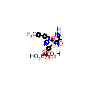 CC(c1cn[nH]c1)c1cn(CC(=O)N(Cc2ccc(-c3ccc(C(F)(F)F)cc3)cc2)C2CCN(C)CC2)c(SCc2ccc(F)cc2)nc1=O.O=C(O)C(O)C(O)C(=O)O